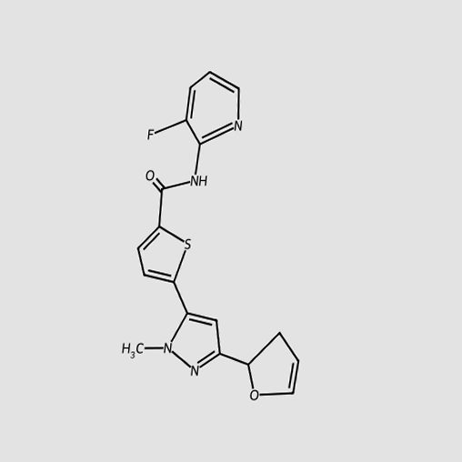 Cn1nc(C2CC=CO2)cc1-c1ccc(C(=O)Nc2ncccc2F)s1